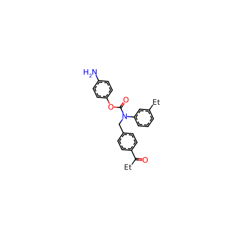 CCC(=O)c1ccc(CN(C(=O)Oc2ccc(N)cc2)c2cccc(CC)c2)cc1